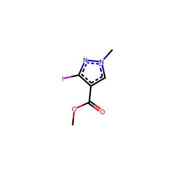 COC(=O)c1cn(C)nc1I